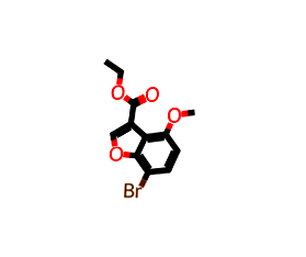 CCOC(=O)c1coc2c(Br)ccc(OC)c12